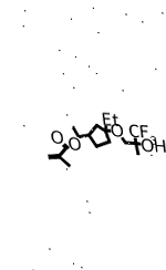 C=C(C)C(=O)OC(C)C1CCC(CC)(OCC(C)(O)C(F)(F)F)C1